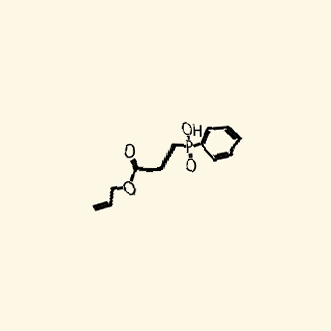 C=CCOC(=O)CCP(=O)(O)c1ccccc1